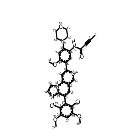 CC#CC(=O)Nc1cc(-c2cc3c(cn2)cc(-c2c(Cl)c(OC)cc(OC)c2Cl)c2nccn23)c(OC)cc1N1CCOCC1